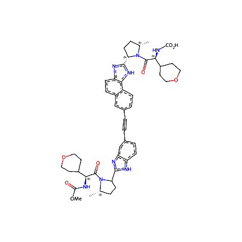 COC(=O)N[C@H](C(=O)N1C(c2nc3cc(C#Cc4ccc5c(ccc6nc([C@@H]7CC[C@H](C)N7C(=O)[C@@H](NC(=O)O)C7CCOCC7)[nH]c65)c4)ccc3[nH]2)CC[C@@H]1C)C1CCOCC1